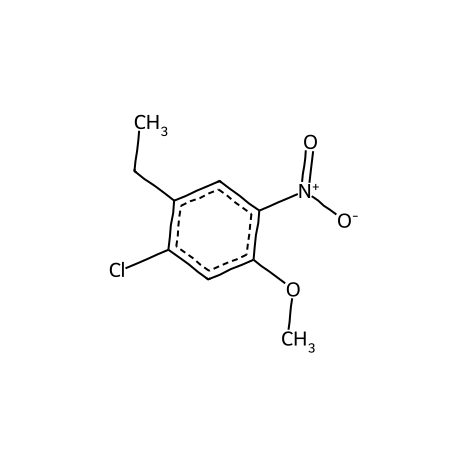 CCc1cc([N+](=O)[O-])c(OC)cc1Cl